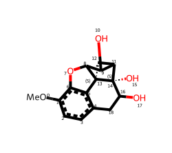 COc1ccc2c3c1OC1C(O)C4C[C@]31[C@]4(O)C(O)C2